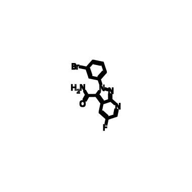 NC(=O)c1c2cc(F)cnc2nn1-c1cccc(Br)c1